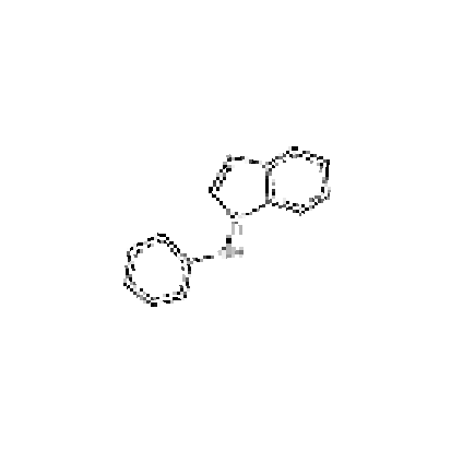 C1=C[SH](Nc2ccccc2)c2ccccc21